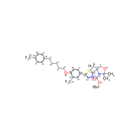 CC(C)(C)OC(=O)N1C(C)(C)OCC1(C)c1ncc(-c2ccc(OCCCCCc3ccc(C(F)(F)F)cc3)c(C(F)(F)F)c2)s1